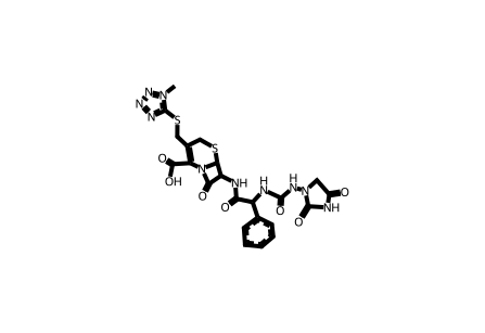 Cn1nnnc1SCC1=C(C(=O)O)N2C(=O)C(NC(=O)C(NC(=O)NN3CC(=O)NC3=O)c3ccccc3)C2SC1